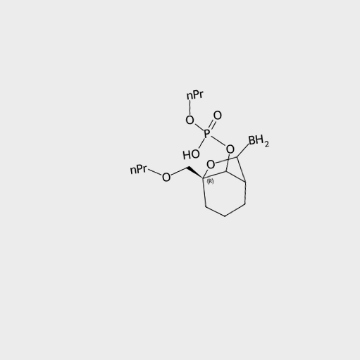 BC1O[C@@]2(COCCC)CCCC1C2OP(=O)(O)OCCC